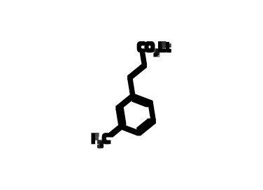 CCOC(=O)CCc1cccc(C(F)(F)F)c1